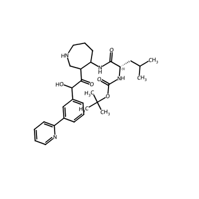 CC(C)C[C@H](NC(=O)OC(C)(C)C)C(=O)NC1CCCNCC1C(=O)C(O)c1cccc(-c2ccccn2)c1